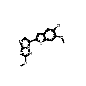 COc1nn2c(-c3cc4cc(Cl)c(OC)cc4o3)cnc2s1